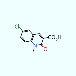 Cn1c(=O)c(C(=O)O)cc2cc(Cl)ccc21